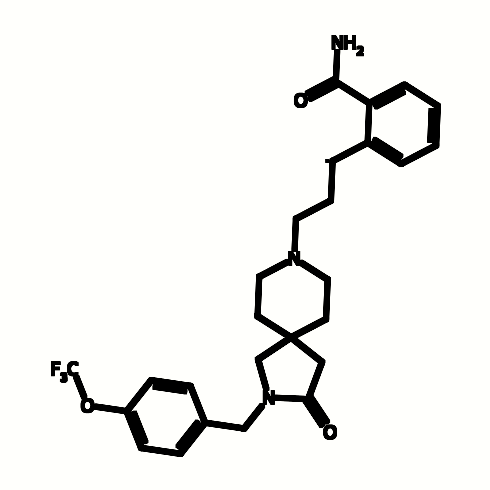 NC(=O)c1ccccc1[CH]CCN1CCC2(CC1)CC(=O)N(Cc1ccc(OC(F)(F)F)cc1)C2